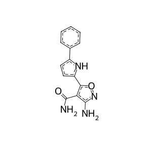 NC(=O)c1c(N)noc1-c1ccc(-c2ccccc2)[nH]1